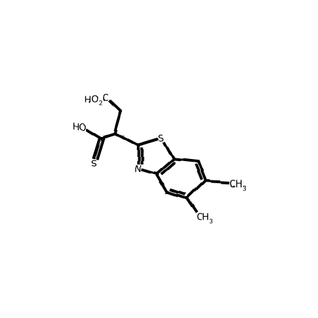 Cc1cc2nc(C(CC(=O)O)C(O)=S)sc2cc1C